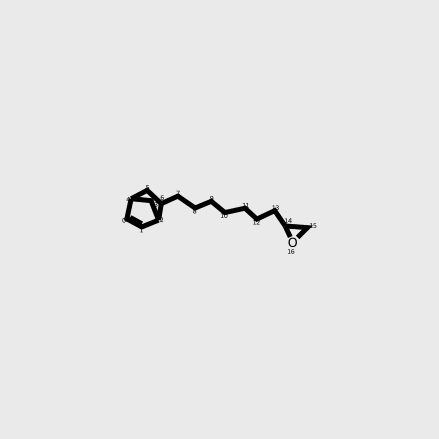 C1=CC2CC1CC2CCCCCCCC1CO1